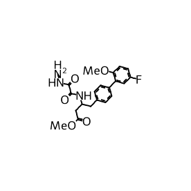 COC(=O)CC(Cc1ccc(-c2cc(F)ccc2OC)cc1)NC(=O)C(=O)NN